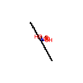 CCCCCCCCCCCCCCCCCCC(CCCCCCCCCCCCCCCCCC)CN(C)CCO.COS(=O)(=O)O